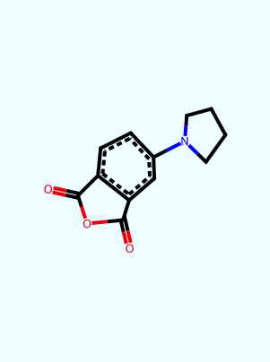 O=C1OC(=O)c2cc(N3CCCC3)ccc21